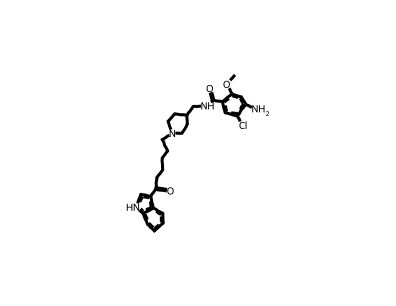 COc1cc(N)c(Cl)cc1C(=O)NCC1CCN(CCCCCC(=O)c2c[nH]c3ccccc23)CC1